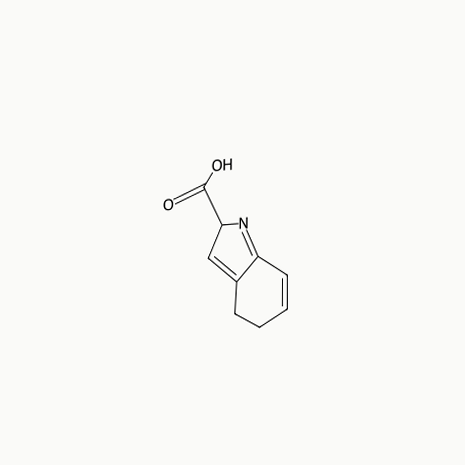 O=C(O)C1C=C2CCC=CC2=N1